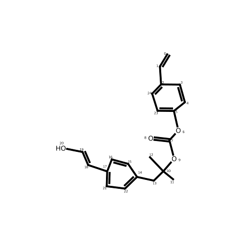 C=Cc1ccc(OC(=O)OC(C)(C)Cc2ccc(C=CO)cc2)cc1